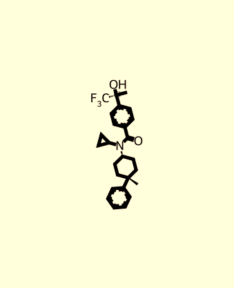 C[C@](O)(c1ccc(C(=O)N(C2CC2)[C@H]2CC[C@@](C)(c3ccccc3)CC2)cc1)C(F)(F)F